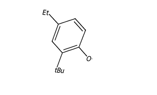 CCc1ccc([O])c(C(C)(C)C)c1